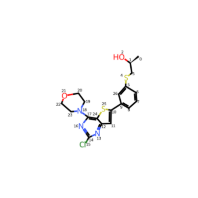 C[C@H](O)CSc1cccc(-c2cc3nc(Cl)nc(N4CCOCC4)c3s2)c1